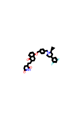 O=C1CCC(CCC2CCc3c(OCc4ccc(CN5CCC(c6cc(F)cc(F)c6)CC5C5CC5)cc4)cccc3C2=O)C(=O)N1